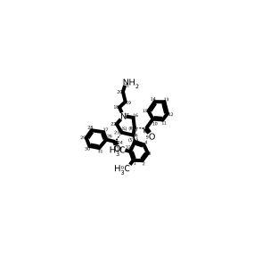 Cc1cccc([C@@H]2[C@@H](C(=O)c3ccccc3)CN(CCCN)C[C@H]2C(=O)c2ccccc2)c1C